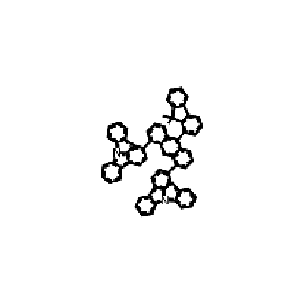 CC1(C)c2ccccc2-c2cccc(-c3c4cccc(-c5ccc6c7ccccc7n7c8ccccc8c5c67)c4cc4c(-c5ccc6c7ccccc7n7c8ccccc8c5c67)cccc34)c21